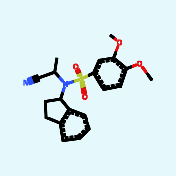 COc1ccc(S(=O)(=O)N(C(C)C#N)C2CCc3ccccc32)cc1OC